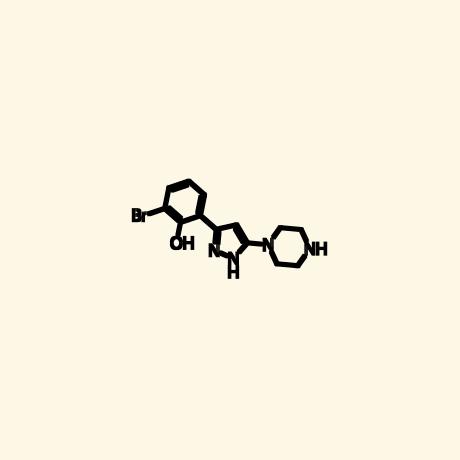 Oc1c(Br)cccc1-c1cc(N2CCNCC2)[nH]n1